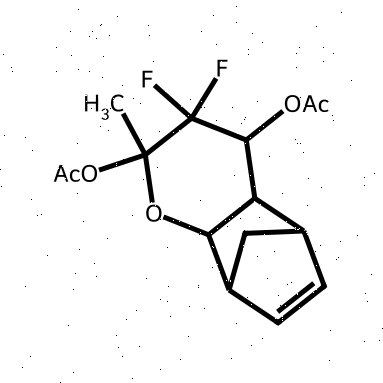 CC(=O)OC1C2C3C=CC(C3)C2OC(C)(OC(C)=O)C1(F)F